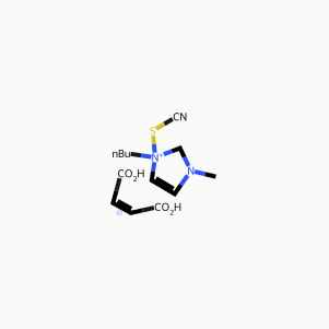 CCCC[N+]1(SC#N)C=CN(C)C1.O=C(O)/C=C\C(=O)O